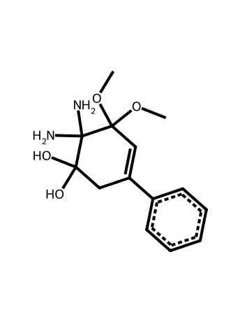 COC1(OC)C=C(c2ccccc2)CC(O)(O)C1(N)N